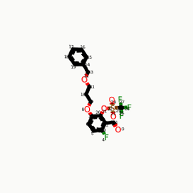 O=Cc1c(F)ccc(OCCCOCc2ccccc2)c1OS(=O)(=O)C(F)(F)F